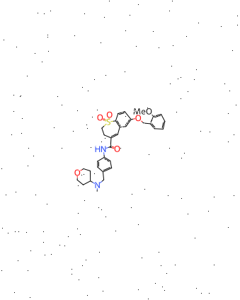 COc1ccccc1COc1ccc2c(c1)C=C(C(=O)Nc1ccc(CN(C)C3CCOCC3)cc1)CCS2(=O)=O